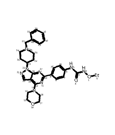 CCONC(=O)Nc1ccc(-c2nc(N3CCOCC3)c3cnn(C4CCN(Cc5ccccc5)CC4)c3n2)cc1